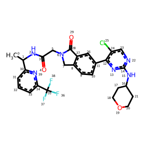 CC(NC(=O)CN1Cc2ccc(-c3nc(NC4CCOCC4)ncc3Cl)cc2C1=O)c1cccc(C(F)(F)F)n1